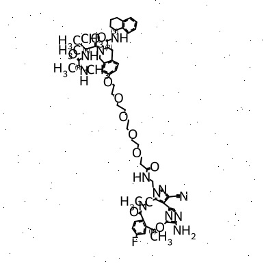 CN[C@H](C)C(=O)N[C@@H](C(=O)N1Cc2cc(OCCOCCOCCOCCOCCC(=O)NCCn3nc(C#N)c4c3CN(C)C(=O)c3ccc(F)cc3[C@@H](C)Oc3nc-4cnc3N)ccc2C[C@@H]1C(=O)N[C@H]1CCCc2ccccc21)C(C)(C)C